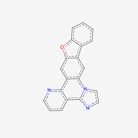 c1ccc2c(c1)oc1cc3c4ncccc4c4nccn4c3cc12